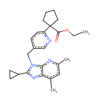 CCOC(=O)C1(c2ccc(Cn3c(C4CC4)nc4c(C)cc(C)nc43)cn2)CCCC1